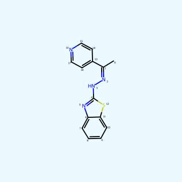 C/C(=N/Nc1nc2ccccc2s1)c1ccncc1